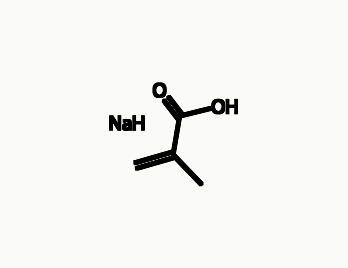 C=C(C)C(=O)O.[NaH]